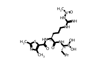 Cc1nc(C)c(C(=O)N[C@@H](CCCNC(=N)N[N+](C)=O)C(=O)N[C@@H](CC(C)C)B(O)O)s1